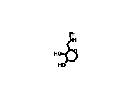 CC(C)NCC1OCCC(O)C1O